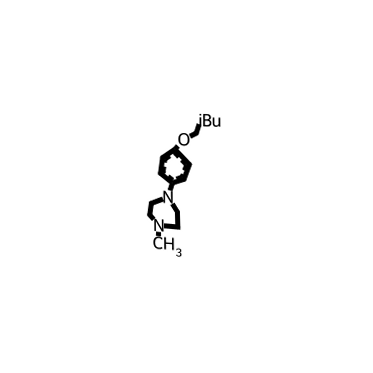 CCC(C)COc1ccc(N2CCN(C)CC2)cc1